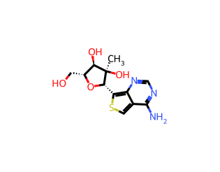 C[C@@]1(O)[C@H](O)[C@@H](CO)O[C@H]1c1scc2c(N)ncnc12